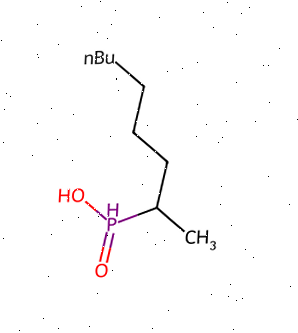 CCCCCCCC(C)[PH](=O)O